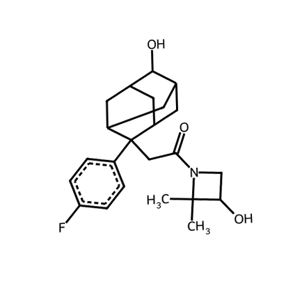 CC1(C)C(O)CN1C(=O)CC1(c2ccc(F)cc2)C2CC3CC1CC(C2)C3O